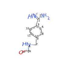 N=C(N)c1ccc(CN[C]=O)cc1